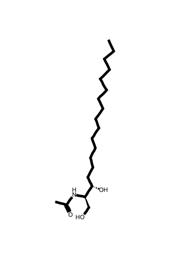 CCCCCCCCCCCCCCC[C@H](O)[C@@H](CO)NC(C)=O